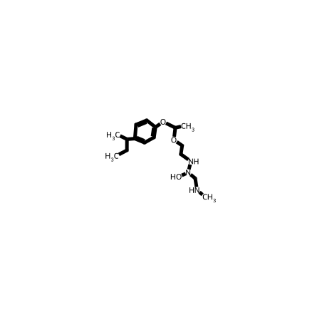 CCC(C)c1ccc(OC(C)OCCNN(O)CNC)cc1